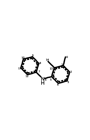 Cc1cc[c]c(Nc2ccccc2)c1C